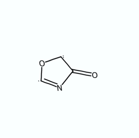 O=C1[C]O[C]=N1